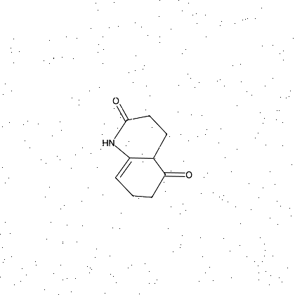 O=C1CCC2C(=O)CCC=C2N1